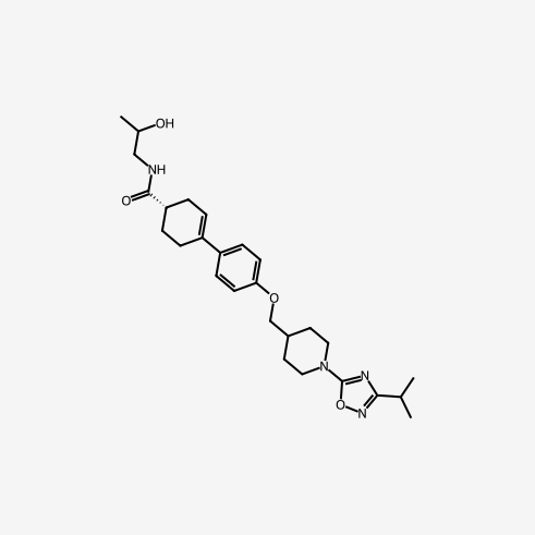 CC(O)CNC(=O)[C@@H]1CC=C(c2ccc(OCC3CCN(c4nc(C(C)C)no4)CC3)cc2)CC1